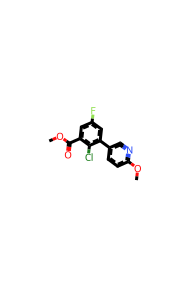 COC(=O)c1cc(F)cc(-c2ccc(OC)nc2)c1Cl